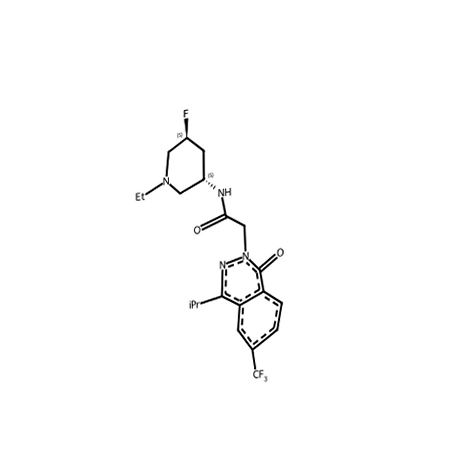 CCN1C[C@@H](F)C[C@H](NC(=O)Cn2nc(C(C)C)c3cc(C(F)(F)F)ccc3c2=O)C1